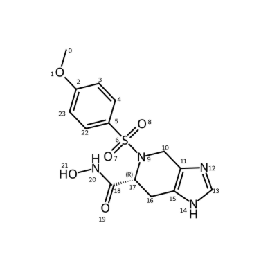 COc1ccc(S(=O)(=O)N2Cc3nc[nH]c3C[C@@H]2C(=O)NO)cc1